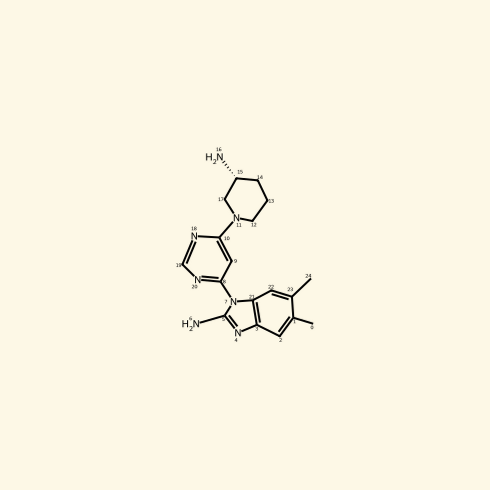 Cc1cc2nc(N)n(-c3cc(N4CCC[C@@H](N)C4)ncn3)c2cc1C